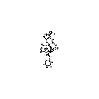 Cn1ncc2cc(N(C(=O)C(F)F)C3(C(=O)NCc4ccccc4)CCOCC3)ccc21